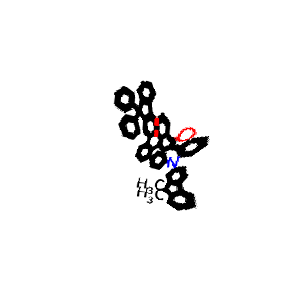 CC1(C)c2ccccc2-c2ccc(N(c3ccccc3)c3cccc4oc5c6ccccc6c(-c6ccccc6-c6ccc7c(c6)C(c6ccccc6)(c6ccccc6)c6ccccc6-7)cc5c34)cc21